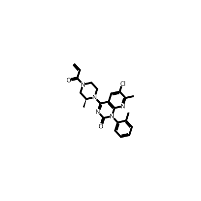 C=CC(=O)N1CCN(c2nc(=O)n(-c3ccccc3C)c3nc(C)c(Cl)cc23)[C@@H](C)C1